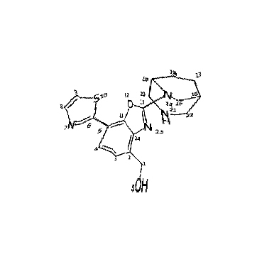 OCc1ccc(-c2nccs2)c2oc(N3CC4CCC3CNC4)nc12